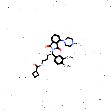 CCN1CCN(c2cccc3c2C(=O)N([C@H](CCCNC(=O)C2CCC2)c2ccc(OC)c(OC)c2)C3=O)CC1